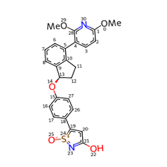 COc1ccc(-c2cccc3c2CC[C@H]3Oc2ccc(-c3cc(O)n[s+]3[O-])cc2)c(OC)n1